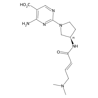 CN(C)CC=CC(=O)N[C@@H]1CCN(c2ncc(C(=O)O)c(N)n2)C1